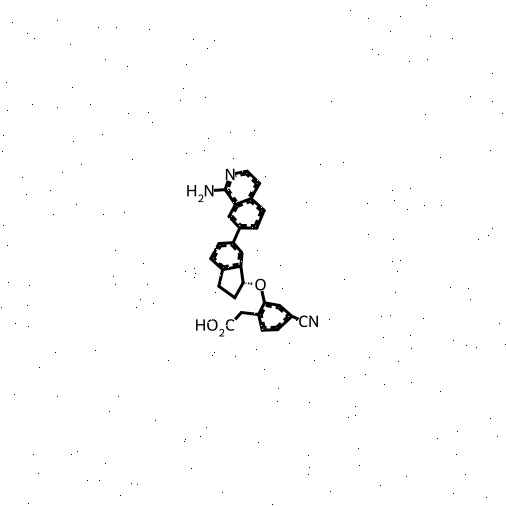 N#Cc1ccc(CC(=O)O)c(O[C@@H]2CCc3ccc(-c4ccc5ccnc(N)c5c4)cc32)c1